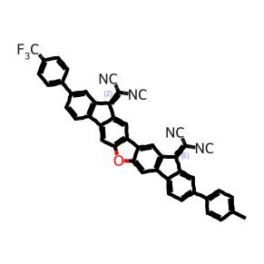 [C-]#[N+]/C(C#N)=C1/c2cc(-c3ccc(C(F)(F)F)cc3)ccc2-c2cc3oc4cc5c(cc4c3cc21)/C(=C(\C#N)[N+]#[C-])c1cc(-c2ccc(C)cc2)ccc1-5